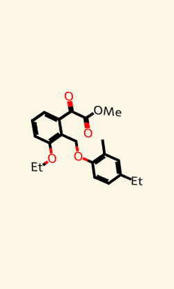 CCOc1cccc(C(=O)C(=O)OC)c1COc1ccc(CC)cc1C